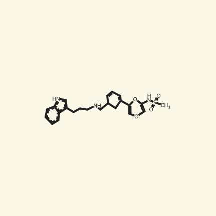 CS(=O)(=O)NC1=COC=C(C2=CC=CC(CNCCCc3c[nH]c4ccccc34)C2)O1